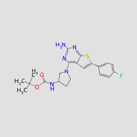 CC(C)(C)OC(=O)NC1CCN(c2nc(N)nc3sc(-c4ccc(F)cc4)cc23)C1